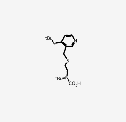 CC(C)(C)Sc1ccncc1CSCCN(C(=O)O)C(C)(C)C